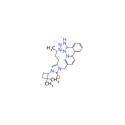 CCCCc1cn(C2CCC2(C)C)c(=O)n1Cc1ccc(-c2ccccc2-c2nnn[nH]2)nc1